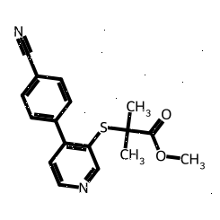 COC(=O)C(C)(C)Sc1cnccc1-c1ccc(C#N)cc1